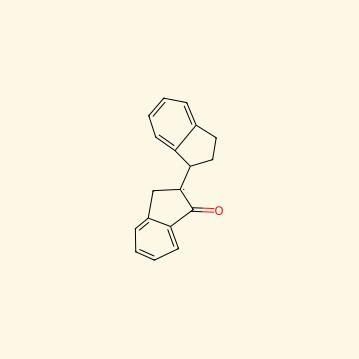 O=C1[C](C2CCc3ccccc32)Cc2ccccc21